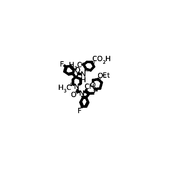 CCO[C@H]1CC[C@H](Cc2c(C)n(C(=O)N3CC[C@@](C(=O)N[C@H]4CC[C@H](C(=O)O)C[C@@H]4C)(c4ccc(F)cc4)C[C@@H]3C)c3cc(F)ccc23)OC1